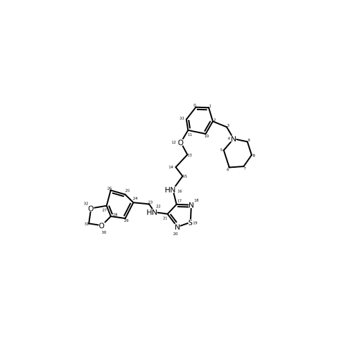 c1cc(CN2CCCCC2)cc(OCCCNc2nsnc2NCc2ccc3c(c2)OCO3)c1